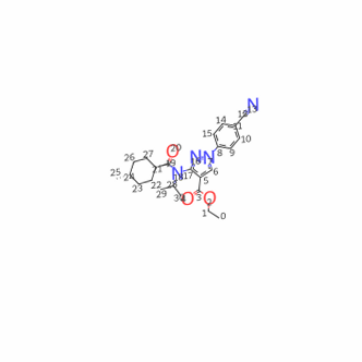 CCOC(=O)c1cn(-c2ccc(C#N)cc2)nc1N(C(=O)[C@H]1CC[C@H](C)CC1)C(C)C